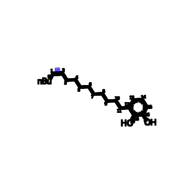 CCCC/C=C\CCCCCCCCCc1cccc(O)c1O